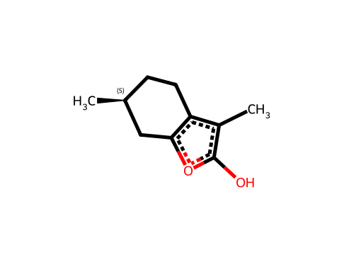 Cc1c(O)oc2c1CC[C@H](C)C2